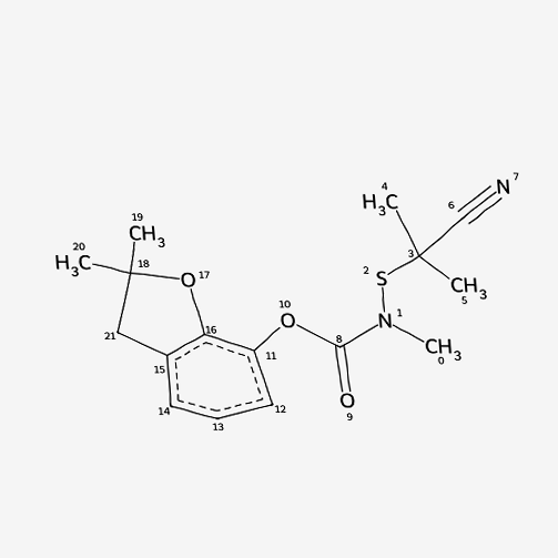 CN(SC(C)(C)C#N)C(=O)Oc1cccc2c1OC(C)(C)C2